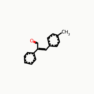 Cc1ccc(/C=C(\C=O)c2ccccc2)cc1